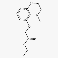 CCOC(=O)COc1cccc2c1N(C)CCO2